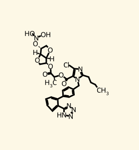 CCCCc1nc(Cl)c(C(=O)O[C@@H](C)C(=O)O[C@H]2CO[C@H]3[C@@H]2OC[C@H]3ON(O)O)n1Cc1ccc(-c2ccccc2-c2nnn[nH]2)cc1